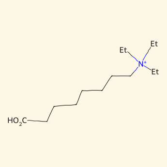 CC[N+](CC)(CC)CCCCCCCC(=O)O